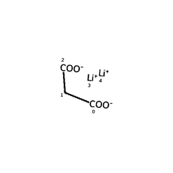 O=C([O-])CC(=O)[O-].[Li+].[Li+]